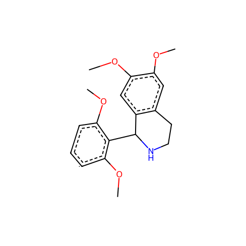 COc1[c]ccc(OC)c1C1NCCc2cc(OC)c(OC)cc21